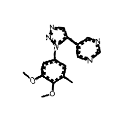 COc1cc(-n2nncc2-c2cncnc2)cc(C)c1OC